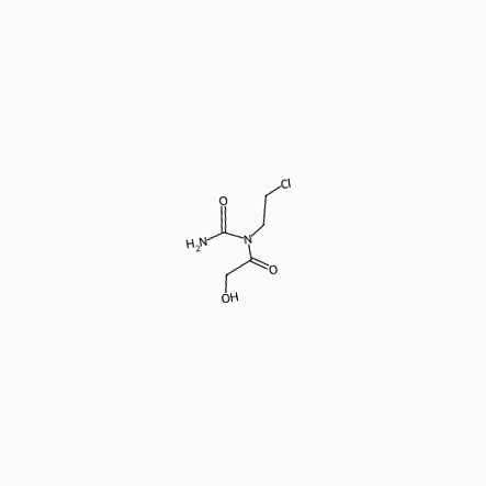 NC(=O)N(CCCl)C(=O)CO